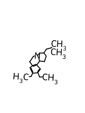 CCc1cc2c(cc1CC)C1CCC(CC(C)C)CN1CC2